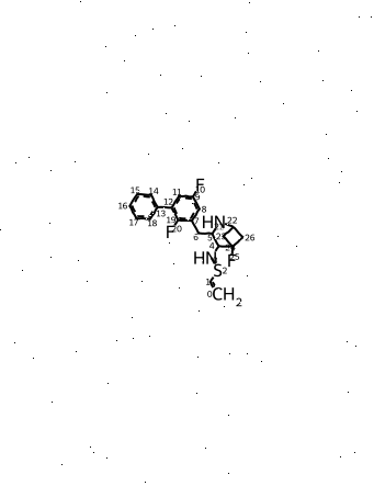 C=CSNC1C(Cc2cc(F)cc(-c3ccccc3)c2F)NC2CC1(F)C2